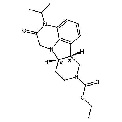 CCOC(=O)N1CC[C@H]2[C@@H](C1)c1cccc3c1N2CC(=O)N3C(C)C